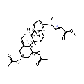 COC(=O)/C=C/[C@@H](C)C1=CC[C@H]2[C@@H]3CC=C4C[C@@H](OC(C)=O)C[C@H](OC(C)=O)[C@]4(C)[C@H]3CC[C@]12C